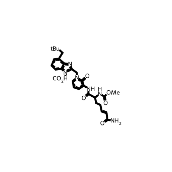 COC(=O)NC(CCC=CC(N)=O)C(=O)Nc1cccn(Cc2nc3c(CC(C)(C)C)cccc3n2C(=O)O)c1=O